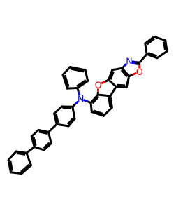 c1ccc(-c2ccc(-c3ccc(N(c4ccccc4)c4cccc5c4oc4cc6nc(-c7ccccc7)oc6cc45)cc3)cc2)cc1